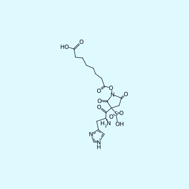 N[C@@H](Cc1c[nH]cn1)C(=O)C1(S(=O)(=O)O)CC(=O)N(OC(=O)CCCCCCC(=O)O)C1=O